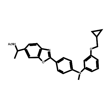 CC(=O)NC(C)c1ccc2nc(-c3ccc(N(C)c4cccc(OCC5CC5)c4)cc3)oc2c1